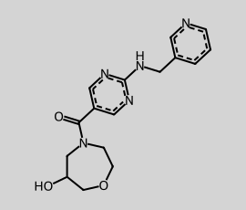 O=C(c1cnc(NCc2cccnc2)nc1)N1CCOCC(O)C1